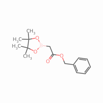 CC1(C)OB(CC(=O)OCc2ccccc2)OC1(C)C